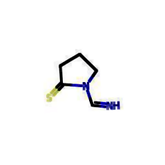 N=CN1CCCC1=S